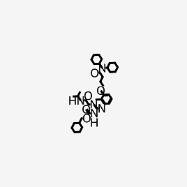 CC(C)NC(=O)CN1Cc2c(cccc2OCCCC(=O)N(C2CCCCC2)C2CCCCC2)N=C1NC(=O)OCC1CCCCC1